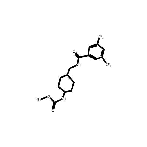 CC(C)(C)OC(=O)NC1CCC(CNC(=O)c2cc(C(F)(F)F)cc(C(F)(F)F)c2)CC1